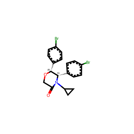 O=C1CO[C@H](c2ccc(Br)cc2)[C@H](c2ccc(Br)cc2)N1C1CC1